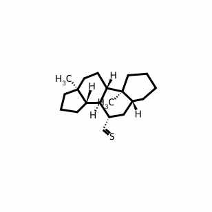 C[C@@]12CCC[C@H]1[C@@H]1[C@@H](C=S)C[C@H]3CCCC[C@]3(C)[C@H]1CC2